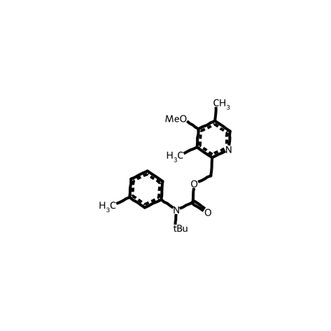 COc1c(C)cnc(COC(=O)N(c2cccc(C)c2)C(C)(C)C)c1C